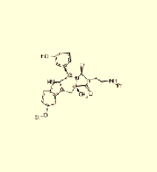 CCOc1ccc2[nH]c3c(c2c1)C[C@@]1(C)C(=O)N(CCNC(C)C)C(=O)N1[C@@H]3c1cccc(O)c1